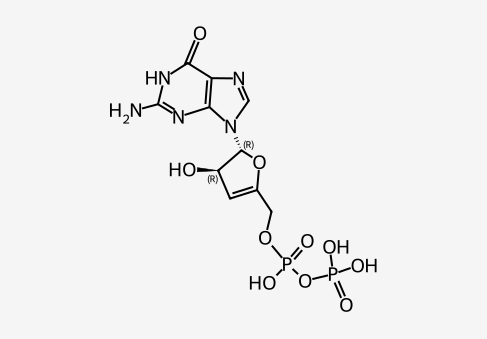 Nc1nc2c(ncn2[C@@H]2OC(COP(=O)(O)OP(=O)(O)O)=C[C@H]2O)c(=O)[nH]1